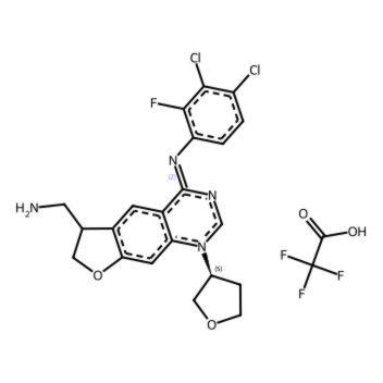 NCC1COc2cc3c(cc21)/c(=N/c1ccc(Cl)c(Cl)c1F)ncn3[C@H]1CCOC1.O=C(O)C(F)(F)F